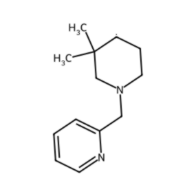 CC1(C)[CH]CCN(Cc2ccccn2)C1